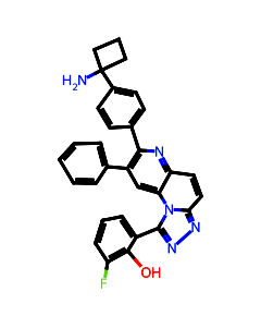 NC1(c2ccc(-c3nc4ccc5nnc(-c6cccc(F)c6O)n5c4cc3-c3ccccc3)cc2)CCC1